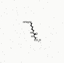 CCCCCCCCCCCCNC(=O)NCC(=O)O